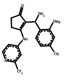 CSc1cc(C#N)ccc1C(N)C1=C(Nc2ccnc(C(F)(F)F)c2)CCC1=O